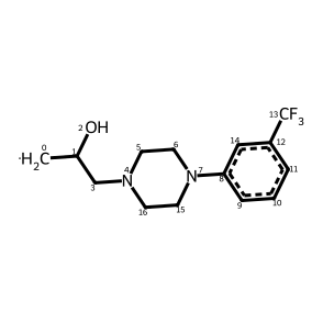 [CH2]C(O)CN1CCN(c2cccc(C(F)(F)F)c2)CC1